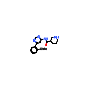 COc1ccccc1-c1cc(NC(=O)C2CCCNC2)ncn1